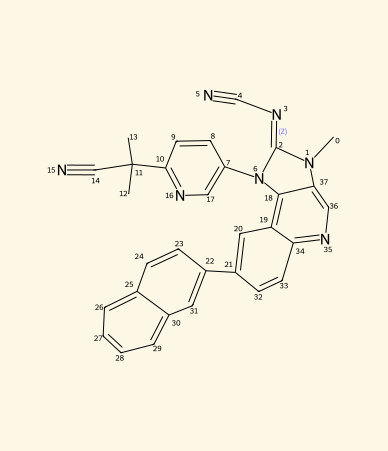 Cn1/c(=N/C#N)n(-c2ccc(C(C)(C)C#N)nc2)c2c3cc(-c4ccc5ccccc5c4)ccc3ncc21